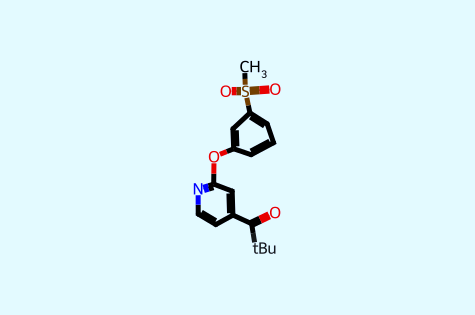 CC(C)(C)C(=O)c1ccnc(Oc2cccc(S(C)(=O)=O)c2)c1